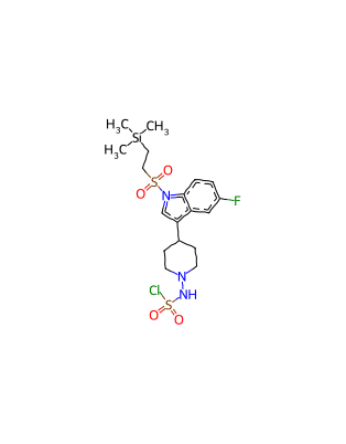 C[Si](C)(C)CCS(=O)(=O)n1cc(C2CCN(NS(=O)(=O)Cl)CC2)c2cc(F)ccc21